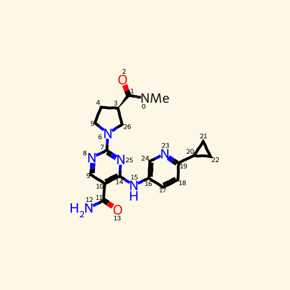 CNC(=O)[C@@H]1CCN(c2ncc(C(N)=O)c(Nc3ccc(C4CC4)nc3)n2)C1